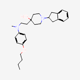 CCCCOc1ccc(N(C)CCC2(O)CCN(C3Cc4ccccc4C3)CC2)cc1